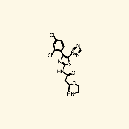 O=C(CC1CNCCO1)Nc1nc(-c2ccc(Cl)cc2Cl)c(-n2cncn2)s1